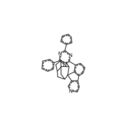 c1ccc(-c2nc(-c3ccccc3)nc(-c3cccc4c3C3(c5cnccc5-4)C4CC5CC(C4)CC3C5)n2)cc1